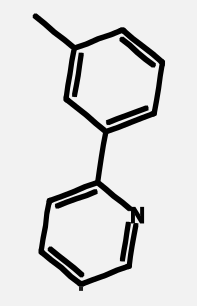 Cc1cccc(-c2cc[c]cn2)c1